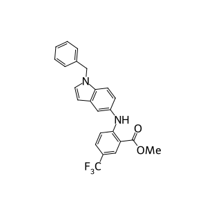 COC(=O)c1cc(C(F)(F)F)ccc1Nc1ccc2c(ccn2Cc2ccccc2)c1